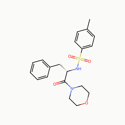 Cc1ccc(S(=O)(=O)N[C@@H](Cc2ccccc2)C(=O)N2CCOCC2)cc1